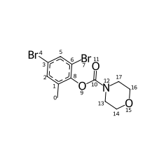 Cc1cc(Br)cc(Br)c1OC(=O)N1CCOCC1